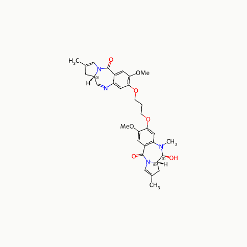 COc1cc2c(cc1OCCCOc1cc3c(cc1OC)C(=O)N1C=C(C)C[C@H]1[C@H](O)N3C)N=C[C@@H]1CC(C)=CN1C2=O